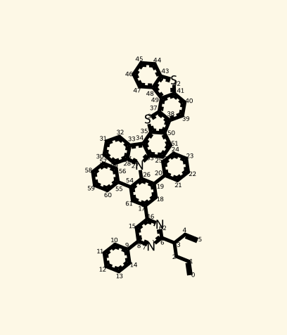 C=CCC(C=C)c1nc(-c2ccccc2)cc(-c2cc(-c3ccccc3)c(-n3c4ccccc4c4c5sc6c(ccc7sc8ccccc8c76)c5ccc43)c(-c3ccccc3)c2)n1